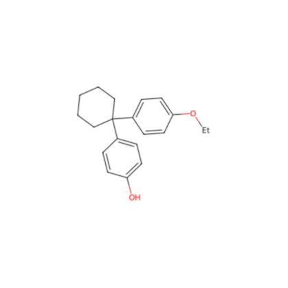 CCOc1ccc(C2(c3ccc(O)cc3)CCCCC2)cc1